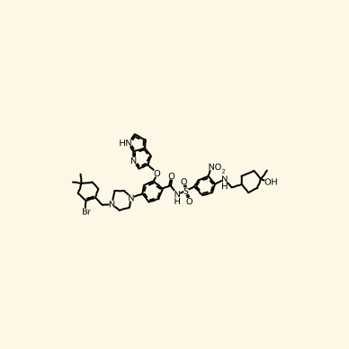 CC1(C)CCC(CN2CCN(c3ccc(C(=O)NS(=O)(=O)c4ccc(NCC5CCC(C)(O)CC5)c([N+](=O)[O-])c4)c(Oc4cnc5[nH]ccc5c4)c3)CC2)=C(Br)C1